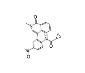 Cn1cc(-c2cc([Si](C)=O)ccc2NC(=O)C2CC2)c2ccccc2c1=O